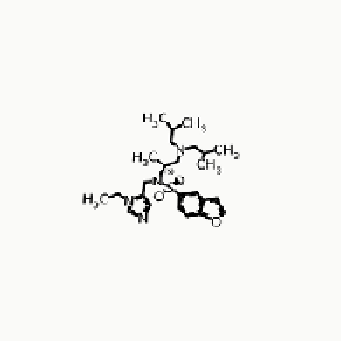 CCn1cncc1CN([C@@H](C)CN(CC(C)C)CC(C)C)S(=O)(=O)c1ccc2occc2c1